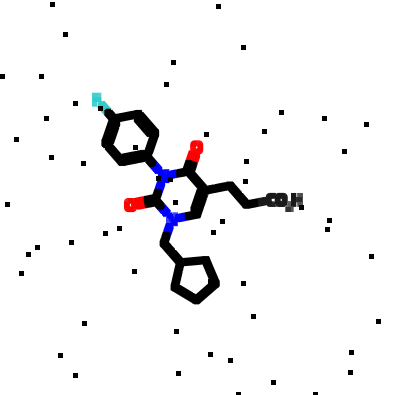 O=C(O)CCc1cn(CC2CCCC2)c(=O)n(-c2ccc(F)cc2)c1=O